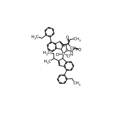 CCc1ccccc1-c1cccc2c1C=C(C(C)CC)[CH]2[Zr]([Cl])([Cl])([B](NC=O)NC=O)[CH]1C(C(C)CC)=Cc2c(-c3ccccc3CC)cccc21